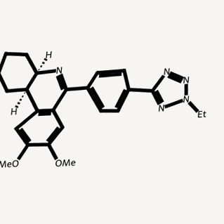 CCn1nnc(-c2ccc(C3=N[C@@H]4CCCC[C@@H]4c4cc(OC)c(OC)cc43)cc2)n1